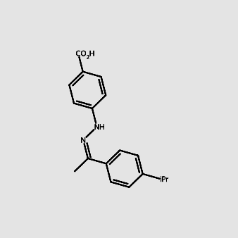 CC(=NNc1ccc(C(=O)O)cc1)c1ccc(C(C)C)cc1